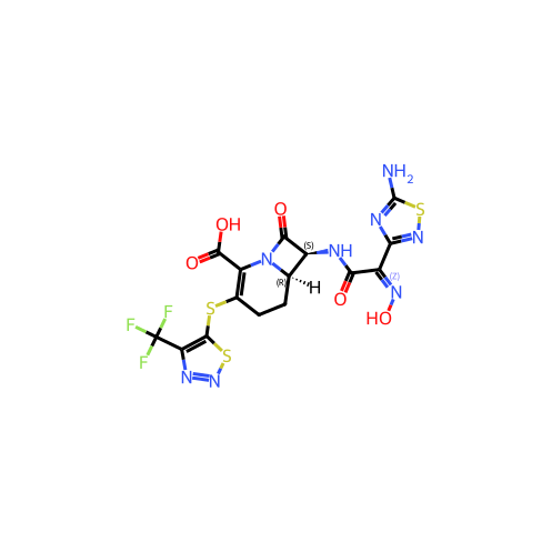 Nc1nc(/C(=N/O)C(=O)N[C@@H]2C(=O)N3C(C(=O)O)=C(Sc4snnc4C(F)(F)F)CC[C@H]23)ns1